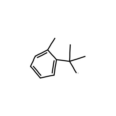 [CH2]C(C)(C)c1ccccc1C